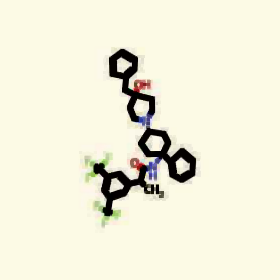 CC(C(=O)N[C@]1(c2ccccc2)CC[C@@H](N2CCC(O)(Cc3ccccc3)CC2)CC1)c1cc(C(F)(F)F)cc(C(F)(F)F)c1